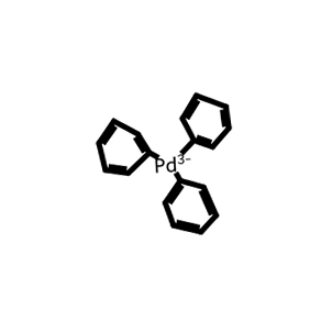 c1cc[c]([Pd-3]([c]2ccccc2)[c]2ccccc2)cc1